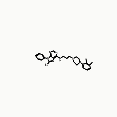 CCc1nc2c(NCCCN3CCN(c4cccc(C)c4C)CC3)ncnc2n1-c1ccccc1